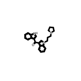 O=C(c1c[nH]c2ccccc12)c1cn(CCCN2CCCC2)c2ccccc12